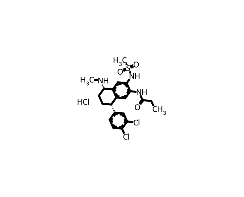 CCC(=O)Nc1cc2c(cc1NS(C)(=O)=O)[C@@H](NC)CC[C@H]2c1ccc(Cl)c(Cl)c1.Cl